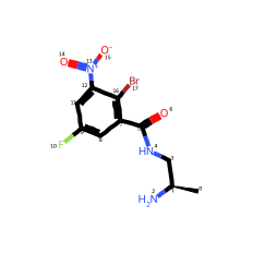 C[C@@H](N)CNC(=O)c1cc(F)cc([N+](=O)[O-])c1Br